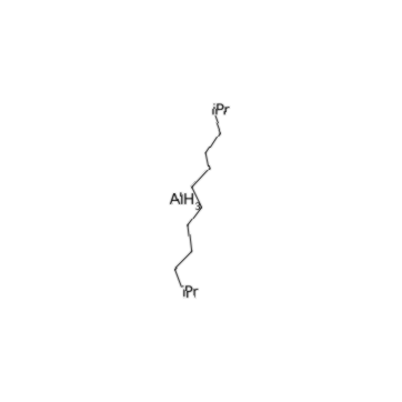 CC(C)CCCCCCCCC(C)C.[AlH3]